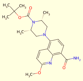 COc1ccc2c(N3C[C@@H](C)N(C(=O)OC(C)(C)C)[C@@H](C)C3)ccc(C(N)=O)c2n1